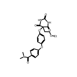 CCOCCC1(Oc2ccc(Oc3ccc(C(=O)N(C)C)cc3)cc2)C(=O)NC(=O)NC1=O